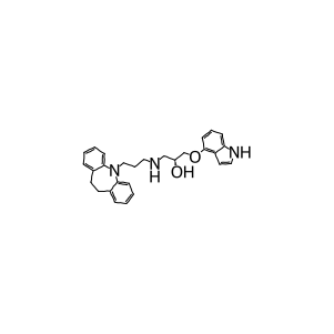 O[C@@H](CNCCCN1c2ccccc2CCc2ccccc21)COc1cccc2[nH]ccc12